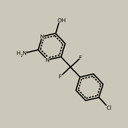 Nc1nc(O)cc(C(F)(F)c2ccc(Cl)cc2)n1